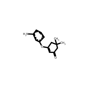 CC1(C)CC(=O)C=C(Oc2cccc(N)c2)C1